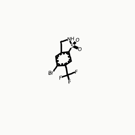 O=S1(=O)NCc2cc(Br)c(C(F)(F)F)cc21